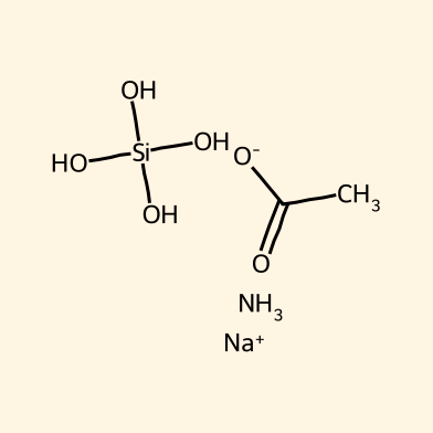 CC(=O)[O-].N.O[Si](O)(O)O.[Na+]